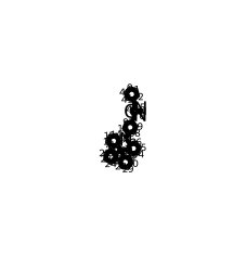 c1ccc(-c2nnc(-c3ccc(N4c5ccccc5C(c5ccccc5)(c5ccccc5)c5ccccc54)cc3)o2)cc1